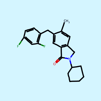 Cc1cc2c(cc1Cc1ccc(F)cc1F)C(=O)N(C1CCCCC1)C2